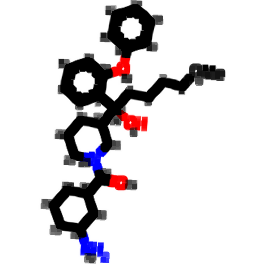 COCCCC[C@@](O)(c1ccccc1Oc1ccccc1)C1CCCN(C(=O)C2CCCC(N)C2)C1